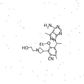 CCOc1c(C(C)n2nc(C)c3c(N)ncnc32)cc(C)c(C#N)c1C1CN(CCO)C1